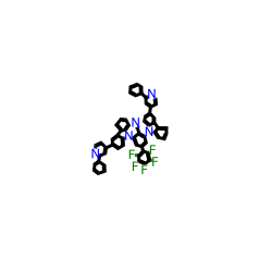 N#Cc1c(-n2c3ccccc3c3cc(-c4ccnc(-c5ccccc5)c4)ccc32)cc(-c2c(F)c(F)c(F)c(F)c2F)cc1-n1c2ccccc2c2cc(-c3ccnc(-c4ccccc4)c3)ccc21